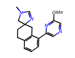 COc1cncc(-c2cccc3c2CC2(CC3)CN(C)C=N2)n1